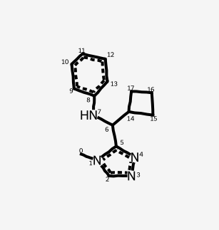 Cn1cnnc1C(Nc1ccccc1)C1CCC1